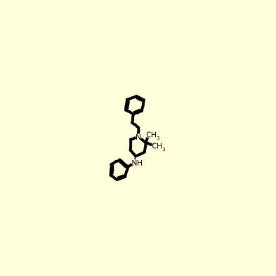 CC1(C)C[C@H](Nc2ccccc2)CCN1CCc1ccccc1